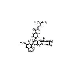 COc1cc(OC)c(Cl)c(N2Cc3cnc(Nc4ccc(F)c(F)c4)nc3N(C3CCN(C(=O)/C=C/CN(C)C)CC3)C2=O)c1Cl